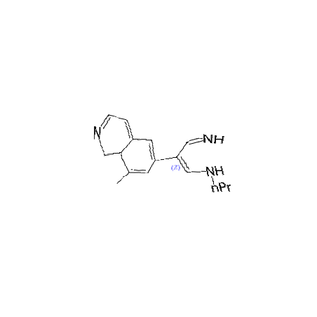 CCCN/C=C(\C=N)C1=CC2=CC=NCC2C(C)=C1